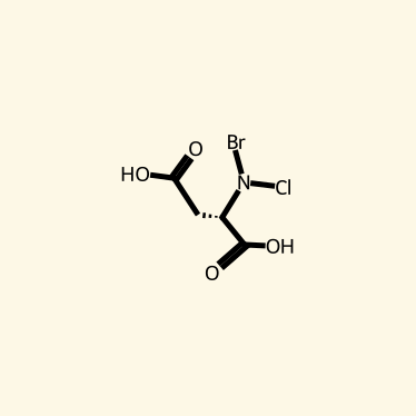 O=C(O)C[C@@H](C(=O)O)N(Cl)Br